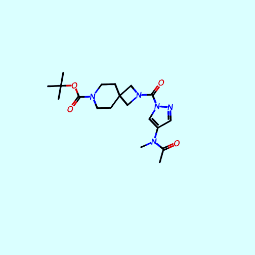 CC(=O)N(C)c1cnn(C(=O)N2CC3(CCN(C(=O)OC(C)(C)C)CC3)C2)c1